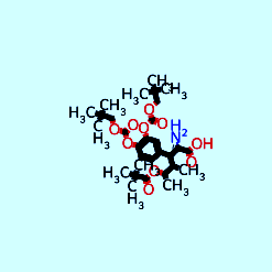 CC(OC(=O)C(C)(C)C)C(C)C(c1ccc(OC(=O)OCC(C)(C)C)c(OC(=O)OCC(C)(C)C)c1)[C@H](N)C(=O)O